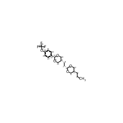 CCC[C@H]1CO[C@H](CC[C@H]2CO[C@H](c3ccc(OC(F)(F)F)cc3)OC2)OC1